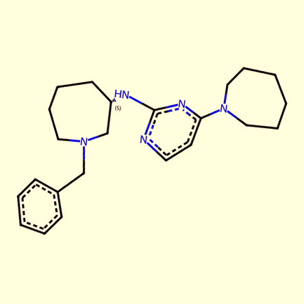 c1ccc(CN2CCCC[C@H](Nc3nccc(N4CCCCCC4)n3)C2)cc1